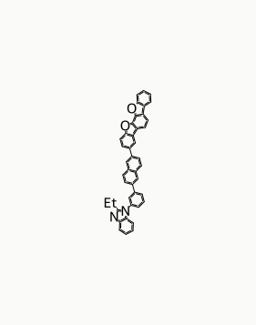 CCc1nc2ccccc2n1-c1cccc(-c2ccc3cc(-c4ccc5oc6c(ccc7c8ccccc8oc76)c5c4)ccc3c2)c1